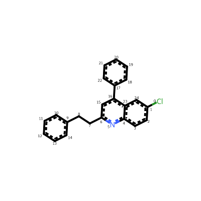 Clc1ccc2nc(CCc3ccccc3)cc(-c3ccccc3)c2c1